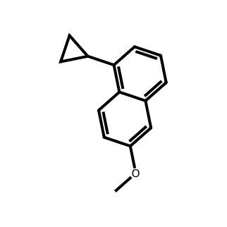 COc1ccc2c(C3CC3)cccc2c1